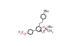 CC(C)(C)c1ccc(CCc2cc(-c3ccc(OC(F)(F)F)cc3)ccc2O[Si](C)(C)C(C)(C)C)cc1